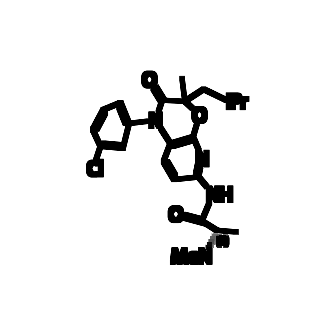 CN[C@@H](C)C(=O)Nc1ccc2c(n1)OC(C)(CC(C)C)C(=O)N2c1cccc(Cl)c1